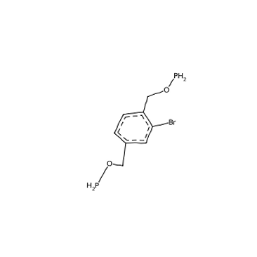 POCc1ccc(COP)c(Br)c1